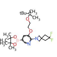 CC1(C)OB(c2cnc(N3CC4(C3)CC(F)(F)C4)c(OCCO[Si](C)(C)C(C)(C)C)c2)OC1(C)C